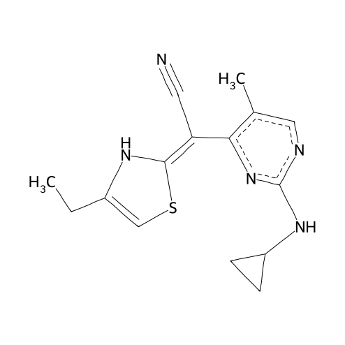 CCC1=CS/C(=C(/C#N)c2nc(NC3CC3)ncc2C)N1